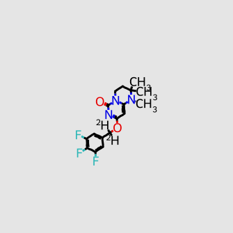 [2H]C([2H])(Oc1cc2n(c(=O)n1)CCC(C)(C)N2C)c1cc(F)c(F)c(F)c1